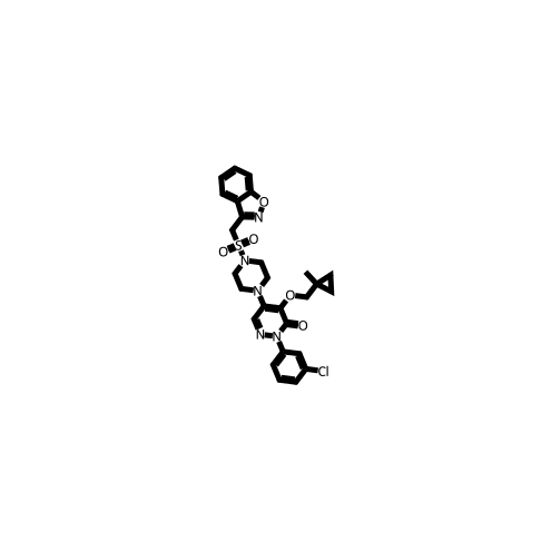 CC1(COc2c(N3CCN(S(=O)(=O)Cc4noc5ccccc45)CC3)cnn(-c3cccc(Cl)c3)c2=O)CC1